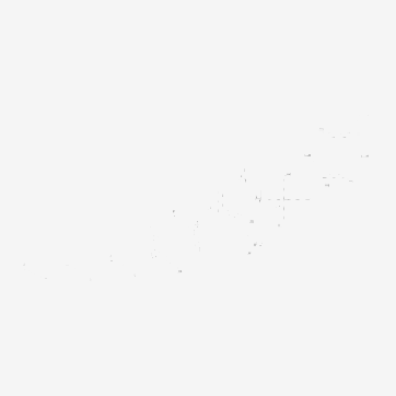 CCCCCCc1ccc(-c2cnn(C(C)(C)Cc3ccc(C)cc3)c2O)cc1